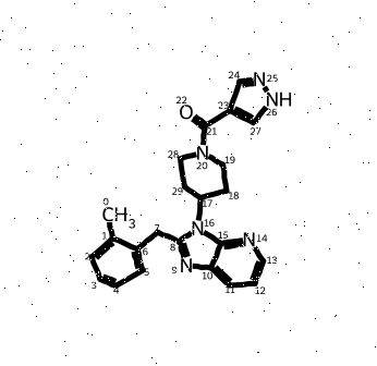 Cc1ccccc1Cc1nc2cccnc2n1C1CCN(C(=O)c2cn[nH]c2)CC1